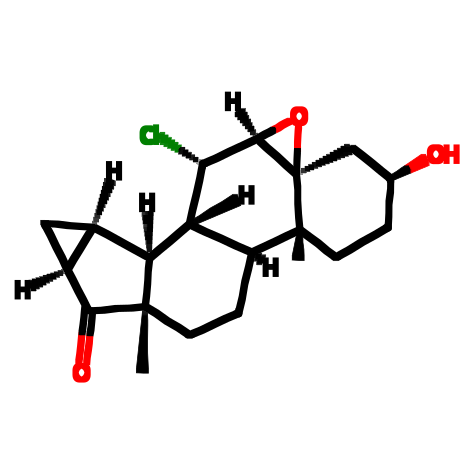 C[C@]12CC[C@H]3[C@@H]([C@H](Cl)[C@H]4O[C@]45C[C@@H](O)CC[C@]35C)[C@@H]1[C@@H]1C[C@@H]1C2=O